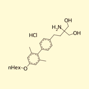 CCCCCCOc1cc(C)c(-c2ccc(CCC(N)(CO)CO)cc2)c(C)c1.Cl